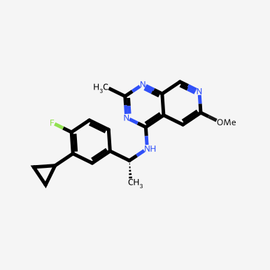 COc1cc2c(N[C@H](C)c3ccc(F)c(C4CC4)c3)nc(C)nc2cn1